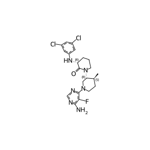 C[C@H]1CCN(c2ncnc(N)c2F)C[C@@H]1N1CCC[C@@H](Nc2cc(Cl)cc(Cl)c2)C1=O